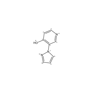 Oc1ccncc1-n1cccn1